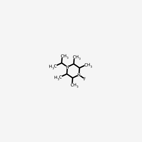 CC1C(C)N(C(C)C)C(C)C(C)N1F